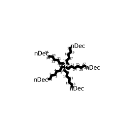 CCCCCCCCCCCCCCC[CH2][Nb]([CH2]CCCCCCCCCCCCCCC)([CH2]CCCCCCCCCCCCCCC)([CH2]CCCCCCCCCCCCCCC)[CH2]CCCCCCCCCCCCCCC